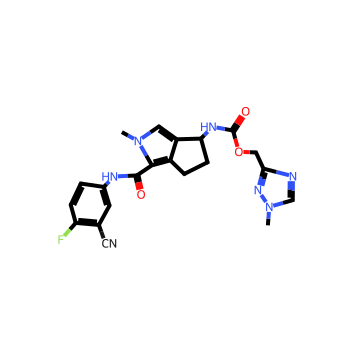 Cn1cnc(COC(=O)NC2CCc3c2cn(C)c3C(=O)Nc2ccc(F)c(C#N)c2)n1